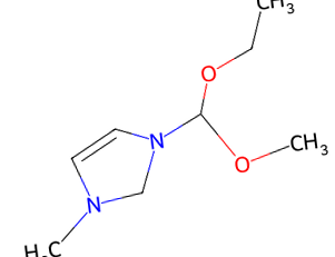 CCOC(OC)N1C=CN(C)C1